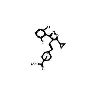 COC(=O)C12CCC(/C=C/c3c(-c4c(Cl)cccc4Cl)noc3C3CC3)(CC1)CC2